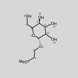 CSCCO[C@@H]1OC(CO)[C@@H](O)C(O)C1O